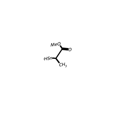 COC(=O)[CH](C)[SnH]